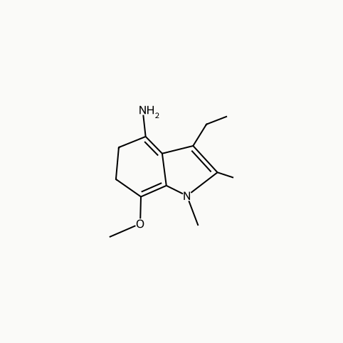 CCc1c(C)n(C)c2c1=C(N)CCC=2OC